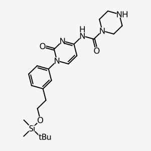 CC(C)(C)[Si](C)(C)OCCc1cccc(-n2ccc(NC(=O)N3CCNCC3)nc2=O)c1